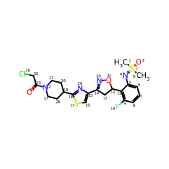 CS(C)(=O)=Nc1cccc(F)c1C1CC(c2csc(C3CCN(C(=O)CCl)CC3)n2)=NO1